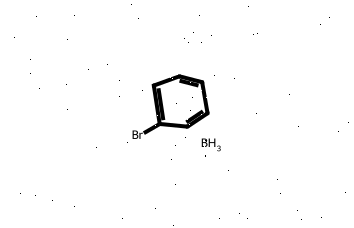 B.Brc1ccccc1